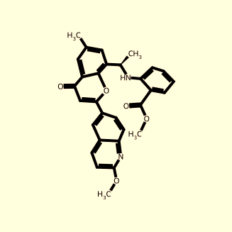 COC(=O)c1ccccc1N[C@H](C)c1cc(C)cc2c(=O)cc(-c3ccc4nc(OC)ccc4c3)oc12